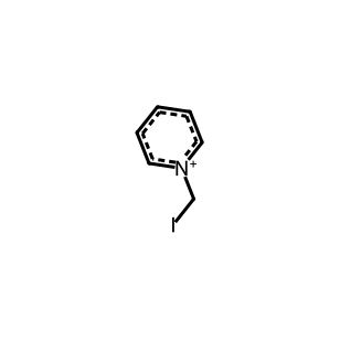 IC[n+]1ccccc1